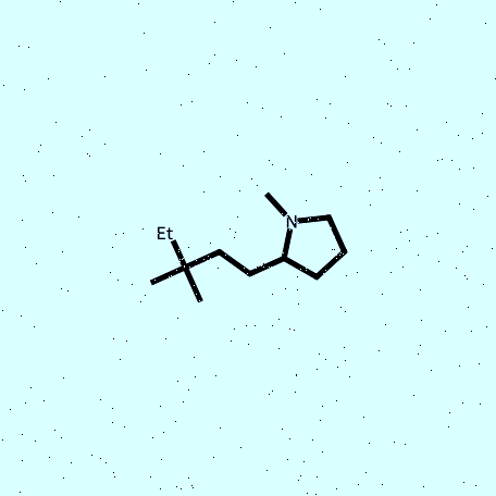 CCC(C)(C)CCC1CCCN1C